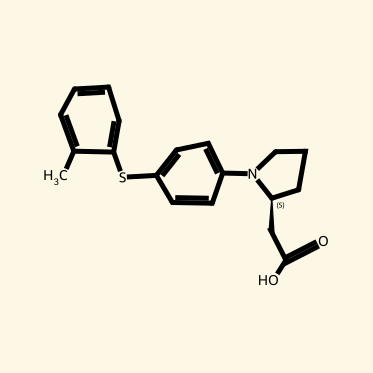 Cc1ccccc1Sc1ccc(N2CCC[C@H]2CC(=O)O)cc1